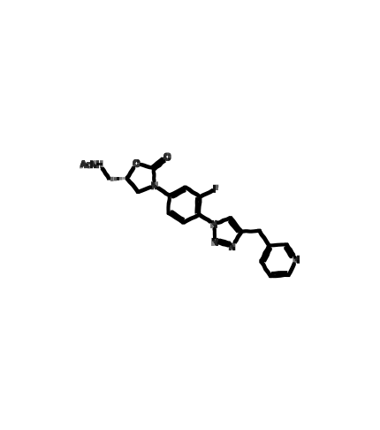 CC(=O)NC[C@H]1CN(c2ccc(-n3cc(Cc4cccnc4)nn3)c(F)c2)C(=O)O1